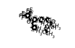 CC(C)(C)OC(=O)NC(C)(C)C(=O)N1CCC(N2CCN(C3CCN(C(=O)c4cc(C(F)(F)F)cc(C(F)(F)F)c4)C(Cc4ccccc4)C3)CC2)C1